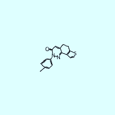 Cc1ccc(-n2nc3c(cc2=O)CCc2sccc2-3)cc1